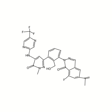 C=C(C)c1cc(F)c2c(=O)n(-c3cccc(-c4cc(Nc5cnc(C(F)(F)F)cn5)c(=O)n(C)n4)c3CO)ncc2c1